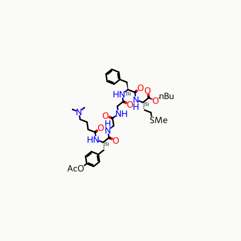 CCCCOC(=O)[C@H](CCSC)NC(=O)[C@H](Cc1ccccc1)NC(=O)CNC(=O)CNC(=O)[C@H](Cc1ccc(OC(C)=O)cc1)NC(=O)CCCN(C)C